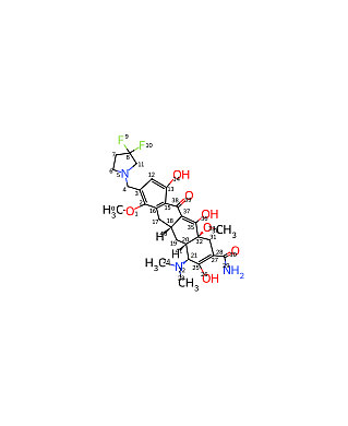 COc1c(CN2CCC(F)(F)C2)cc(O)c2c1C[C@H]1C[C@H]3[C@H](N(C)C)C(O)=C(C(N)=O)C[C@@]3(OC)C(O)=C1C2=O